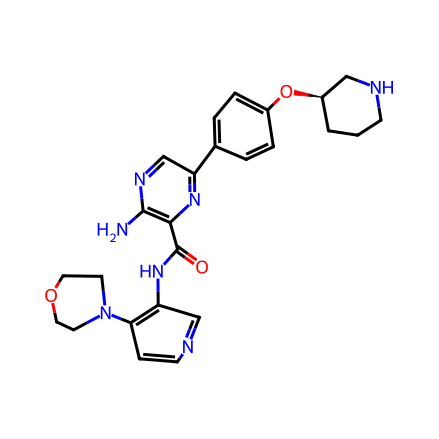 Nc1ncc(-c2ccc(O[C@@H]3CCCNC3)cc2)nc1C(=O)Nc1cnccc1N1CCOCC1